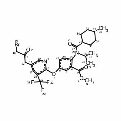 COC(=O)c1cc(Oc2ncc(CC(=O)CBr)cc2C(F)(F)F)ccc1N(C(=O)[C@H]1CC[C@H](C)CC1)C(C)C